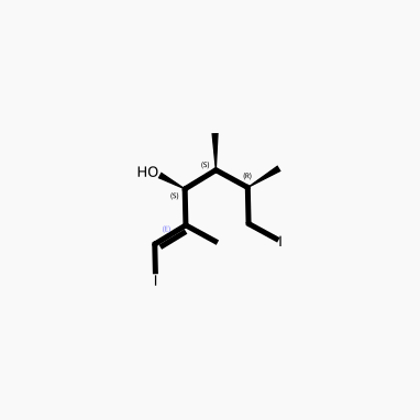 C/C(=C\I)[C@@H](O)[C@@H](C)[C@@H](C)CI